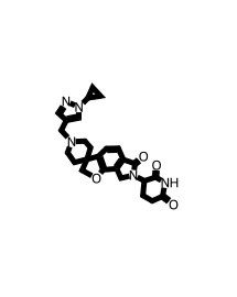 O=C1CCC(N2Cc3c(ccc4c3OCC43CCN(Cc4cnn(C5CC5)c4)CC3)C2=O)C(=O)N1